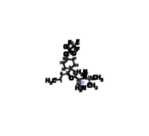 CCCC(=O)C1(CC/C(=C/N)N(N)C(C)C)CC=C(OS(=O)(=O)C(F)(F)F)CC1